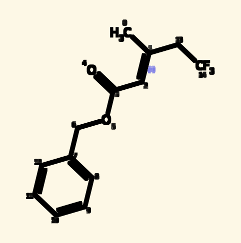 C/C(=C\C(=O)OCc1ccccc1)CC(F)(F)F